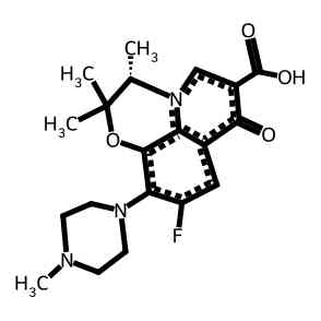 C[C@@H]1n2cc(C(=O)O)c(=O)c3cc(F)c(N4CCN(C)CC4)c(c32)OC1(C)C